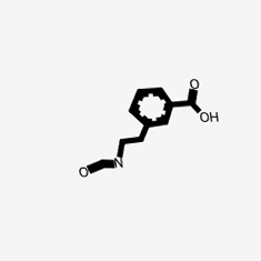 O=C=NCCc1cccc(C(=O)O)c1